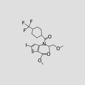 COCC(C)N(C(=O)C1CCC(C(F)(F)F)CC1)c1cc(I)sc1C(=O)OC